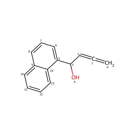 C=C=CC(O)c1cccc2ccccc12